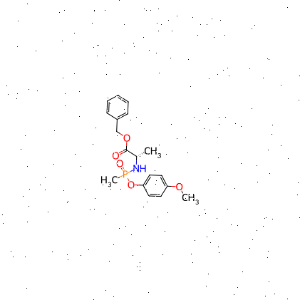 COc1ccc(OP(C)(=O)N[C@@H](C)C(=O)OCc2ccccc2)cc1